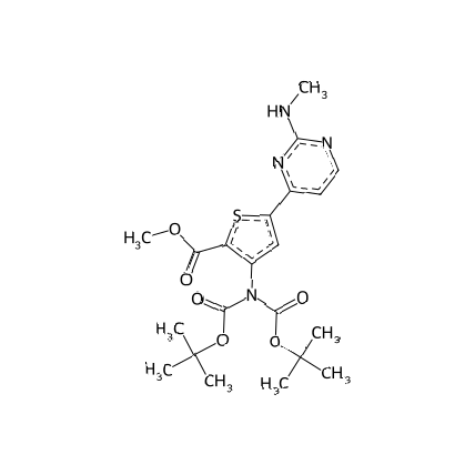 CNc1nccc(-c2cc(N(C(=O)OC(C)(C)C)C(=O)OC(C)(C)C)c(C(=O)OC)s2)n1